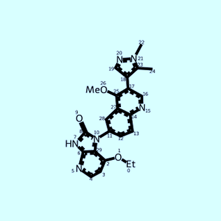 CCOc1ccnc2[nH]c(=O)n(-c3ccc4ncc(-c5cnn(C)c5C)c(OC)c4c3)c12